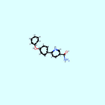 NC(=O)c1ccc(-c2ccc(Oc3ccccc3)cc2)nc1